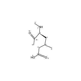 CN[C@@H](CC(C)CC(=O)O)C(C)=O